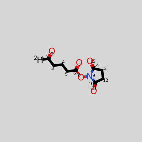 [2H]C(=O)CCCC(=O)ON1C(=O)CCC1=O